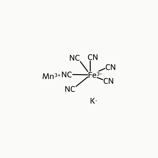 N#[C][Fe-3]([C]#N)([C]#N)([C]#N)([C]#N)[C]#N.[K].[Mn+3]